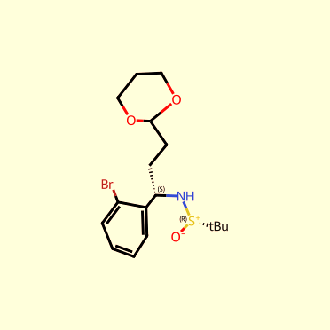 CC(C)(C)[S@+]([O-])N[C@@H](CCC1OCCCO1)c1ccccc1Br